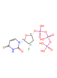 O=c1[nH]c(=S)ccn1[C@@H]1O[C@H](OP(=O)(O)OP(=O)(O)OP(=O)(O)O)C[C@@H]1F